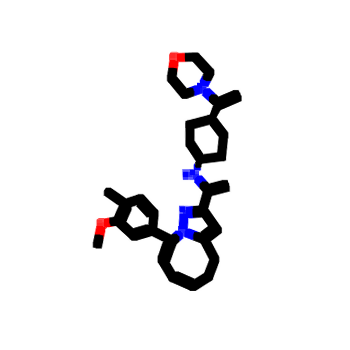 C=C(N[C@H]1CC[C@H](C(=C)N2CCOCC2)CC1)c1cc2n(n1)/C(c1ccc(C)c(OC)c1)=C\C=C/CC2